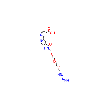 N=NCNCCOCCOCCOCCNC(=O)c1ccnc(-c2cc(C(=O)O)ccn2)c1